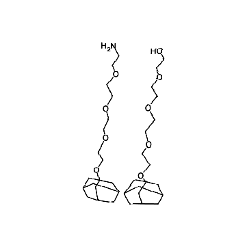 NCCOCCOCCOCCOC12CC3CC(CC(C3)C1)C2.OCCOCCOCCOCCOC12CC3CC(CC(C3)C1)C2